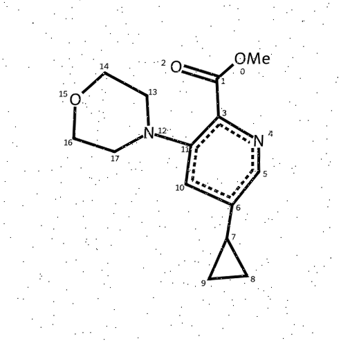 COC(=O)c1ncc(C2CC2)cc1N1CCOCC1